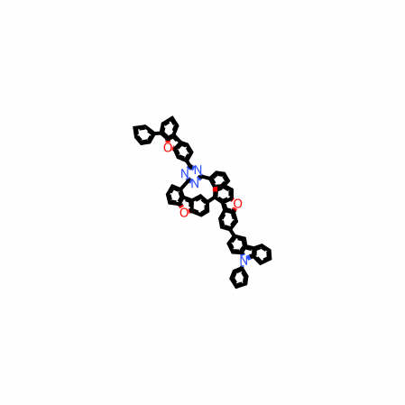 c1ccc(-c2nc(-c3ccc4c(c3)oc3c(-c5ccccc5)cccc34)nc(-c3cccc4oc5ccc(-c6cccc7oc8cc(-c9ccc%10c(c9)c9ccccc9n%10-c9ccccc9)ccc8c67)cc5c34)n2)cc1